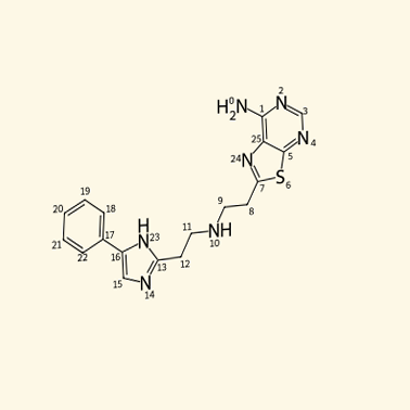 Nc1ncnc2sc(CCNCCc3ncc(-c4ccccc4)[nH]3)nc12